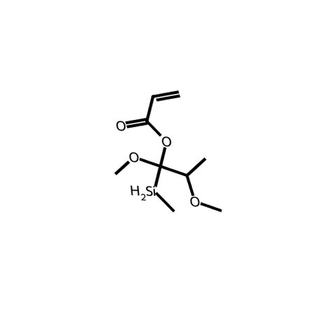 C=CC(=O)OC(OC)([SiH2]C)C(C)OC